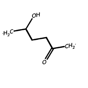 [CH2]C(=O)CCC([CH2])O